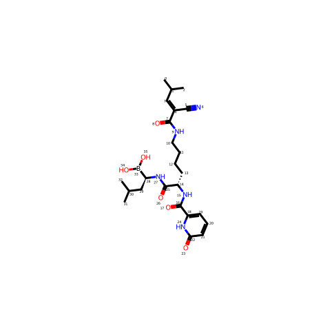 CC(C)C=C(C#N)C(=O)NCCCC[C@H](NC(=O)c1cccc(=O)[nH]1)C(=O)N[C@@H](CC(C)C)B(O)O